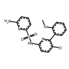 COc1ccccc1-c1nc(NS(=O)(=O)c2cccc(N)n2)ccc1Cl